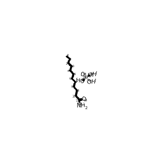 CCCCCCCCCCCC(N)=O.O=P(O)(O)O